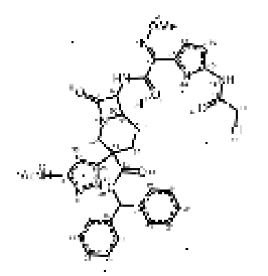 CON=C(C(=O)NC1C(=O)N2CC(C(=O)OC(c3ccccc3)c3ccccc3)(c3nnc(NC(C)=O)s3)CS[C@H]12)c1csc(NC(=O)CCl)n1